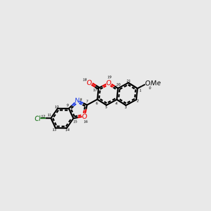 COc1ccc2cc(-c3nc4cc(Cl)ccc4o3)c(=O)oc2c1